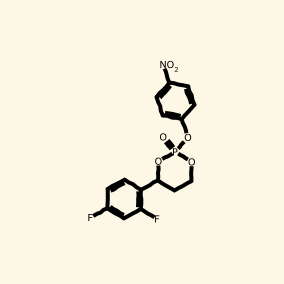 O=[N+]([O-])c1ccc(OP2(=O)OCCC(c3ccc(F)cc3F)O2)cc1